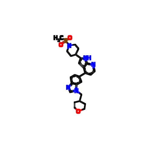 CS(=O)(=O)N1CCC(c2cc3c(-c4ccc5ncn(CC6CCOCC6)c5c4)ccnc3[nH]2)CC1